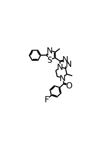 Cc1nc(-c2ccccc2)sc1-c1nnc2n1CCN(C(=O)c1ccc(F)cc1)C2C